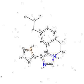 CC(C)Cc1ccc2c(c1)-c1c(-c3cccs3)ncn1CC2